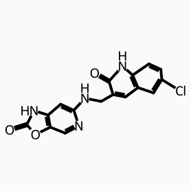 O=c1[nH]c2cc(NCc3cc4cc(Cl)ccc4[nH]c3=O)ncc2o1